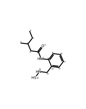 CCC(C)CC(=O)Nc1ccccc1CNS